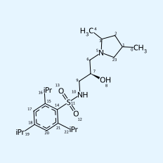 CC1CC(C)N(C[C@@H](O)CNS(=O)(=O)c2c(C(C)C)cc(C(C)C)cc2C(C)C)C1